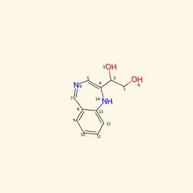 OCC(O)C1=CN=Cc2ccccc2N1